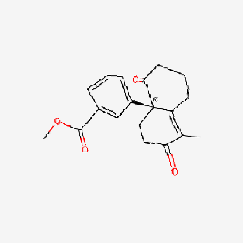 COC(=O)c1cccc([C@]23CCC(=O)C(C)=C2CCCC3=O)c1